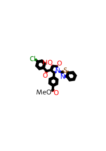 COC(=O)c1ccc(C2C(C(=O)c3ccc(Cl)cc3)=C(O)C(=O)N2c2nc3ccccc3s2)cc1